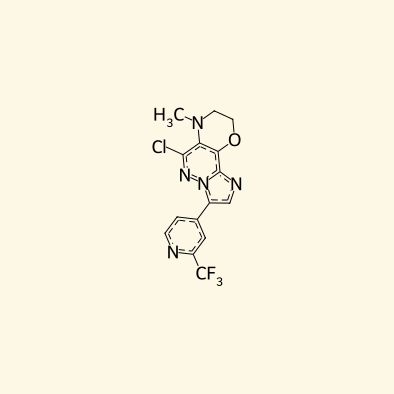 CN1CCOc2c1c(Cl)nn1c(-c3ccnc(C(F)(F)F)c3)cnc21